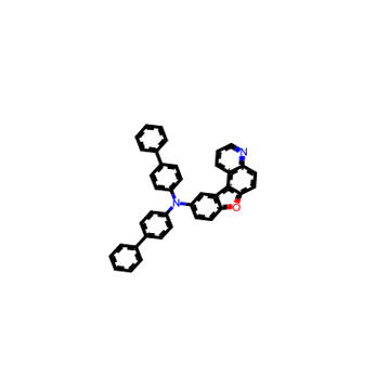 c1ccc(-c2ccc(N(c3ccc(-c4ccccc4)cc3)c3ccc4oc5ccc6ncccc6c5c4c3)cc2)cc1